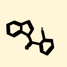 O=C(c1ccccc1I)n1ccc2ccccc21